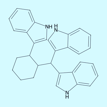 c1ccc2c(C3CCCCC3C(c3c[nH]c4ccccc34)c3c[nH]c4ccccc34)c[nH]c2c1